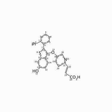 CC(C)c1ccccc1-c1sc2cc(O)ccc2c1Oc1ccc(C=CC(=O)O)nc1